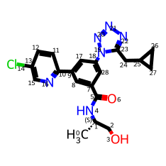 C[C@@H](CO)NC(=O)c1cc(-c2ccc(Cl)cn2)cc(-n2nnnc2CC2CC2)c1